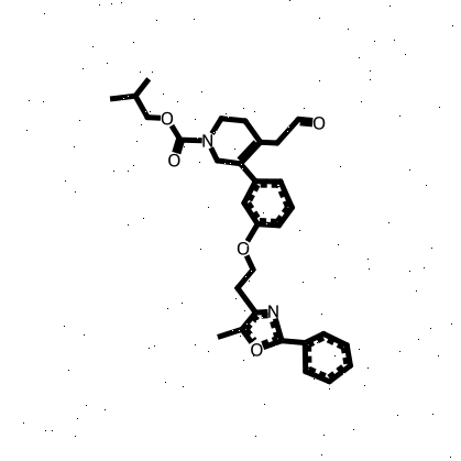 Cc1oc(-c2ccccc2)nc1CCOc1cccc(C2=C(CC=O)CCN(C(=O)OCC(C)C)C2)c1